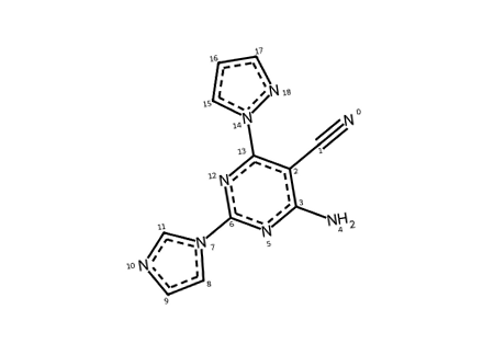 N#Cc1c(N)nc(-n2ccnc2)nc1-n1cccn1